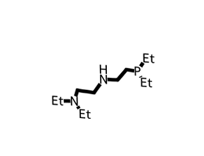 CCN(CC)CCNCCP(CC)CC